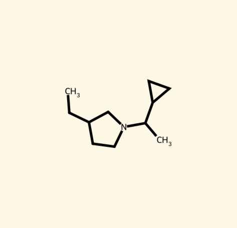 CCC1CCN(C(C)C2CC2)C1